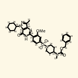 COc1cc(S(=O)(=O)N2CCC(N(C)C(=O)OCc3ccccc3)CC2)ccc1-c1nc2c(C)nn(C3CCCCC3)c2c(=O)[nH]1